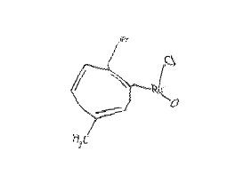 Cc1ccc(C(C)C)[c]([Ru-]([Cl])[Cl])c1